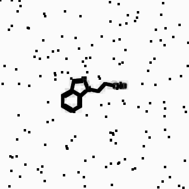 O=CCCn1ncc2ccccc21